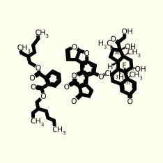 CCCCC(CC)COC(=O)c1ccccc1C(=O)OCC(CC)CCCC.COc1cc2c(c3oc(=O)c4c(c13)CCC4=O)C1C=COC1O2.C[C@@H]1C[C@H]2[C@@H]3CCC4=CC(=O)C=C[C@]4(C)[C@@]3(F)[C@@H](O)C[C@]2(C)[C@@]1(O)C(=O)CO